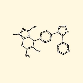 CC(C)c1nn(C)c2c1C(c1ccc(-n3ccnc3-c3cccnc3)cc1)C(C#N)=C(N)O2